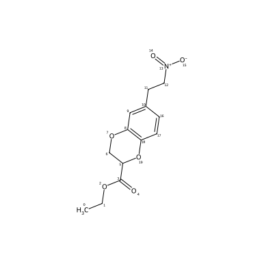 CCOC(=O)C1COc2cc(CC[N+](=O)[O-])ccc2O1